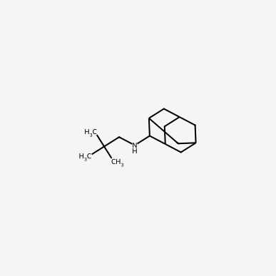 CC(C)(C)CNC1C2CC3CC(C2)CC1C3